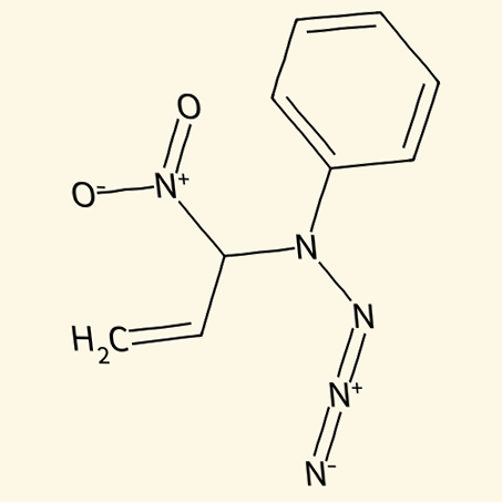 C=CC(N(N=[N+]=[N-])c1ccccc1)[N+](=O)[O-]